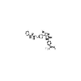 CN(C)c1ccc(-c2nc3c(N4CCN(CCNC(=O)Nc5ccccc5)CC4)c(Br)cnc3[nH]2)cc1